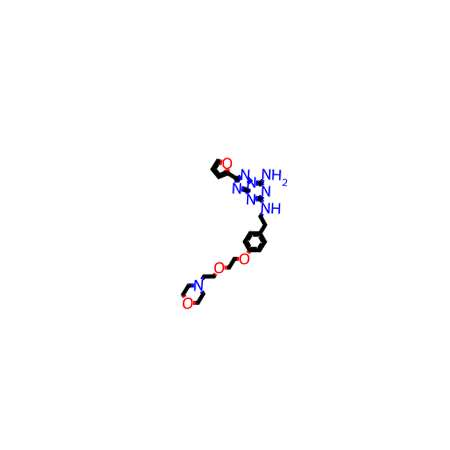 Nc1nc(NCCc2ccc(OCCOCCN3CCOCC3)cc2)nc2nc(-c3ccco3)nn12